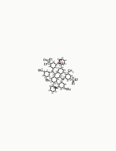 CC[SiH2]c1cc(N(c2cc(C(C)(C)C)cc(C(C)(C)C)c2)c2c3ccc(-c4ccccc4)cc3c(N(c3cc(C)cc([SiH](CC)CC)c3)c3cc(C(C)(C)C)cc(C(C)(C)C)c3)c3ccc(-c4ccccc4)cc23)cc([Si](CC)(CC)CC)c1